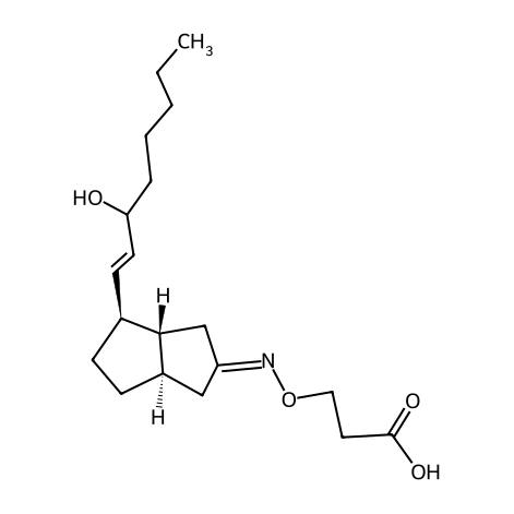 CCCCCC(O)C=C[C@@H]1CC[C@@H]2CC(=NOCCC(=O)O)C[C@H]21